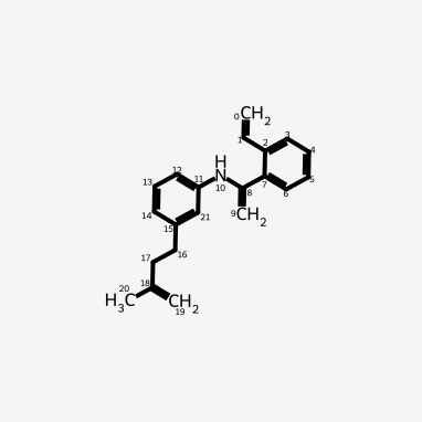 C=Cc1ccccc1C(=C)Nc1cccc(CCC(=C)C)c1